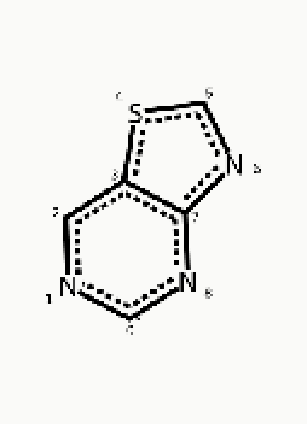 [c]1ncc2scnc2n1